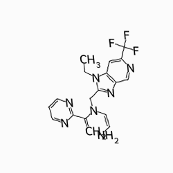 C=C(c1ncccn1)N(/C=C\N)Cc1nc2cnc(C(F)(F)F)cc2n1CC